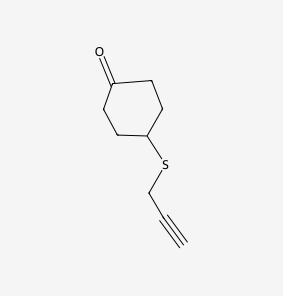 C#CCSC1CCC(=O)CC1